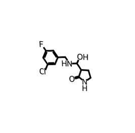 O=C1NCCC1C(O)NCc1cc(F)cc(Cl)c1